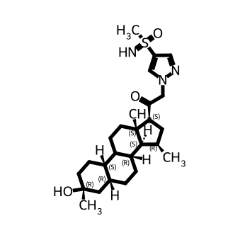 C[C@@H]1C[C@H](C(=O)Cn2cc(S(C)(=N)=O)cn2)[C@@]2(C)CCC3[C@H]4CC[C@@](C)(O)C[C@H]4CC[C@H]3[C@H]12